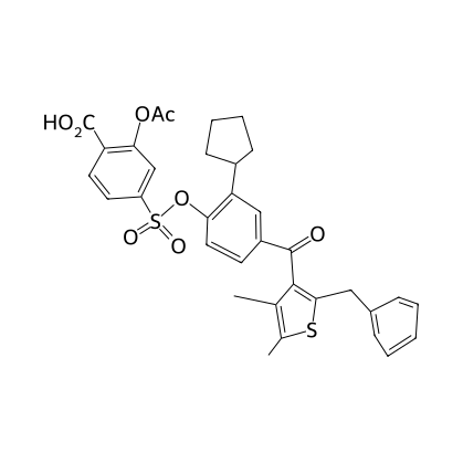 CC(=O)Oc1cc(S(=O)(=O)Oc2ccc(C(=O)c3c(Cc4ccccc4)sc(C)c3C)cc2C2CCCC2)ccc1C(=O)O